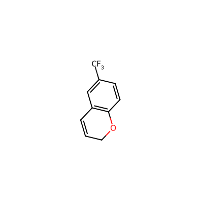 FC(F)(F)c1ccc2c(c1)C=CCO2